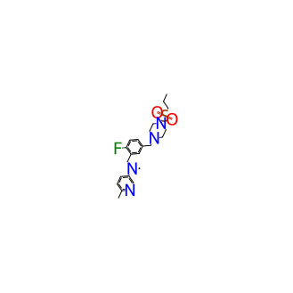 CCCS(=O)(=O)N1CCN(Cc2ccc(F)c(C[N]c3ccc(C)nc3)c2)CC1